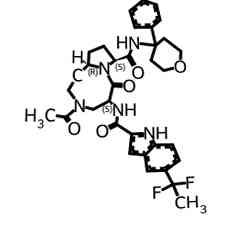 CC(=O)N1CC[C@H]2CC[C@@H](C(=O)NC3(c4ccccc4)CCOCC3)N2C(=O)[C@@H](NC(=O)c2cc3cc(C(C)(F)F)ccc3[nH]2)C1